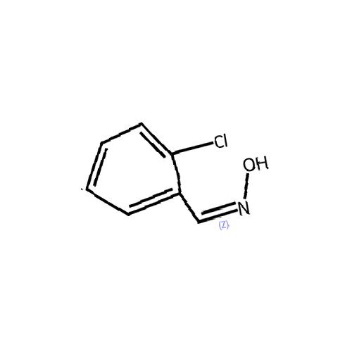 O/N=C\c1c[c]ccc1Cl